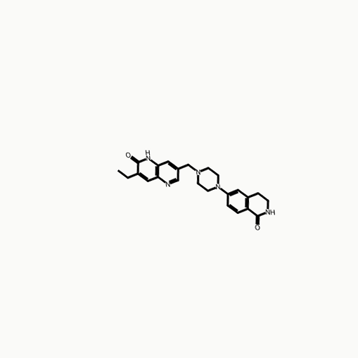 CCc1cc2ncc(CN3CCN(c4ccc5c(c4)CCNC5=O)CC3)cc2[nH]c1=O